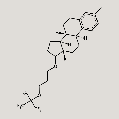 Cc1ccc2c(c1)CC[C@@H]1[C@@H]2CC[C@]2(C)[C@@H](OCCCOC(C(F)(F)F)(C(F)(F)F)C(F)(F)F)CC[C@@H]12